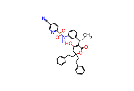 CC[C@H](C1=C(O)CC(CCc2ccccc2)(CCc2ccccc2)OC1=O)c1cccc(NS(=O)(=O)c2ccc(C#N)cn2)c1